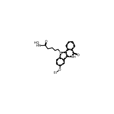 CCOc1ccc2c(c1)c1[nH]c(=O)c3ccccc3c1n2CCCCC(=O)NO